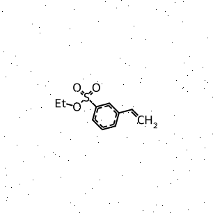 C=Cc1cccc(S(=O)(=O)OCC)c1